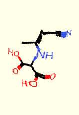 CC(=CC#N)NC(C(=O)O)C(=O)O